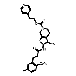 COc1ccc(C)cc1CCC(=O)NC1SC2=C(CCN(C(=O)OCCc3ccncc3)C2)C1C#N